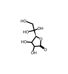 O=C1O[C@H](C(O)(O)CO)C(O)C1O